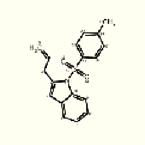 C=CCc1cc2ccccc2n1S(=O)(=O)c1ccc(C)cc1